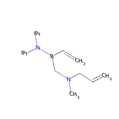 C=CCN(C)CB(C=C)N(C(C)C)C(C)C